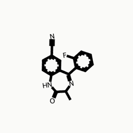 CC1N=C(c2ccccc2F)c2cc(C#N)ccc2NC1=O